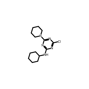 Clc1nc(NC2CCCCC2)nc(N2CCCCC2)n1